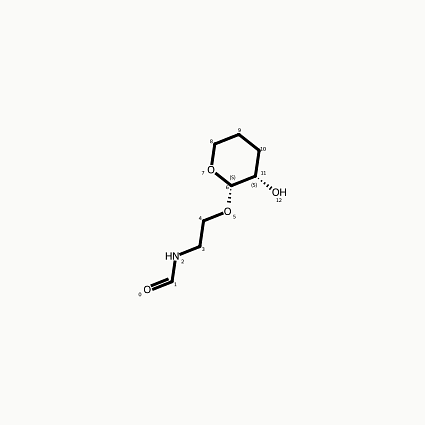 O=CNCCO[C@@H]1OCCC[C@@H]1O